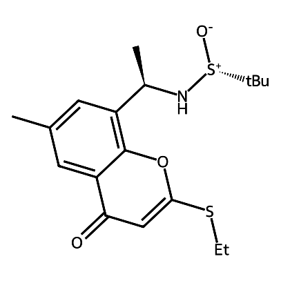 CCSc1cc(=O)c2cc(C)cc([C@@H](C)N[S@+]([O-])C(C)(C)C)c2o1